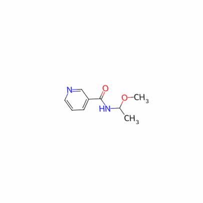 COC(C)NC(=O)c1cccnc1